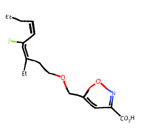 CC/C=C\C(F)=C(\CC)CCOCc1cc(C(=O)O)no1